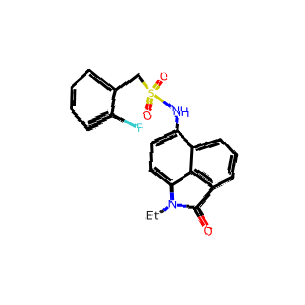 CCN1C(=O)c2cccc3c(NS(=O)(=O)Cc4ccccc4F)ccc1c23